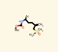 C=C(CCC(NC(=O)OC(C)(C)C)C(C)=O)C[SH](C)(C)=O